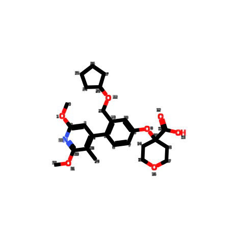 COc1cc(-c2ccc(OC3(C(=O)O)CCOCC3)cc2COC2CCCC2)c(C)c(OC)n1